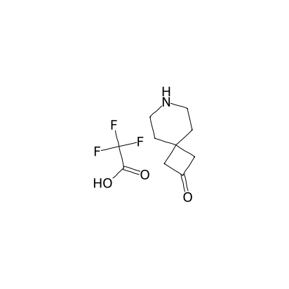 O=C(O)C(F)(F)F.O=C1CC2(CCNCC2)C1